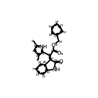 Cc1cc(C)c(C(C(=O)OCc2ccccc2)=C2C(=O)Nc3ccccc32)[nH]1